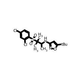 CC(Nc1cc(C(C)(C)C)on1)C(C)(C)S(=O)(=O)c1ccc(Cl)cc1Cl